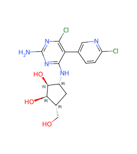 Nc1nc(Cl)c(-c2ccc(Cl)nc2)c(N[C@@H]2C[C@H](CO)[C@@H](O)[C@H]2O)n1